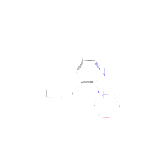 CCOC(=O)c1cc(F)cnc1N1CCOCC1